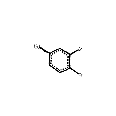 CCc1ccc(C(C)(C)C)cc1Br